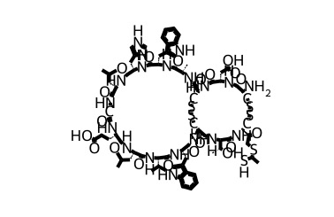 CC(C)C[C@@H]1NC(=O)[C@H](Cc2c[nH]cn2)NC(=O)[C@H](Cc2c[nH]c3ccccc23)NC(=O)[C@H](C)NC(=O)[C@@H]2CSSC[C@H](NC(=O)[C@H](Cc3c[nH]c4ccccc34)NC(=O)[C@H](C(C)C)NC(=O)[C@H](CC(C)C)NC(=O)[C@H](CCC(=O)O)NC(=O)CNC1=O)C(=O)NC([C@@H](C)O)C(=O)N[C@H](C(=O)CSC(C)S)CSSC[C@H](N)C(=O)N[C@@H](CC(=O)O)C(=O)N2